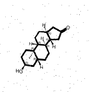 C[C@@]12CC[C@H](O)C[C@H]1CC[C@@H]1[C@H]3CC(=O)C[C@@H]3CC[C@H]12